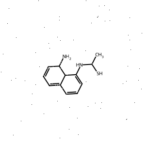 CC(S)NC1=CC=CC2=CC=CC(N)C21